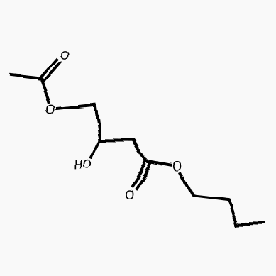 CCCCOC(=O)CC(O)COC(C)=O